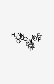 CC1OCc2c1c(N)nc1ccc(C(=O)N(Cc3ccc(C(F)(F)F)cn3)[C@@H]3C[C@H]3C(F)(F)F)cc21